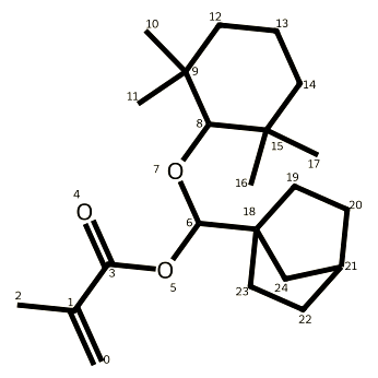 C=C(C)C(=O)OC(OC1C(C)(C)CCCC1(C)C)C12CCC(CC1)C2